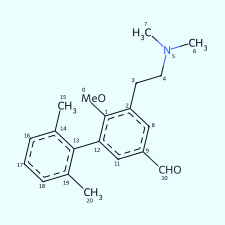 COc1c(CCN(C)C)cc(C=O)cc1-c1c(C)cccc1C